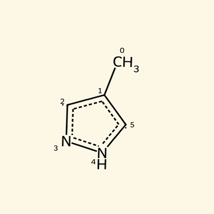 Cc1[c]n[nH][c]1